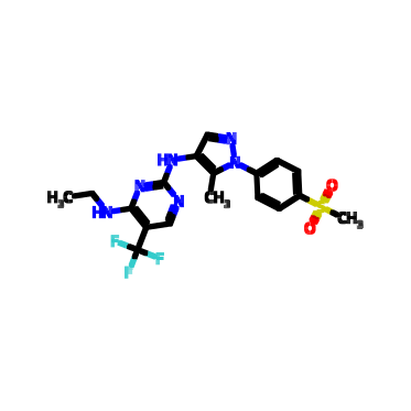 CCNc1nc(Nc2cnn(-c3ccc(S(C)(=O)=O)cc3)c2C)ncc1C(F)(F)F